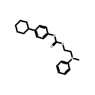 CN(CCOC(=O)Oc1ccc(C2CCCCC2)cc1)c1ccccc1